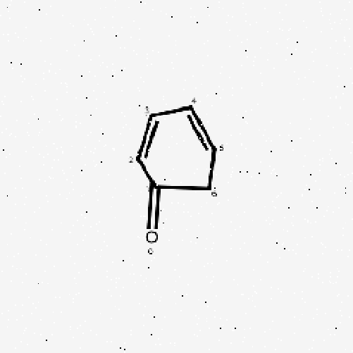 O=C1C=[C]C=CC1